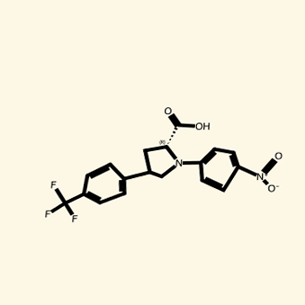 O=C(O)[C@H]1CC(c2ccc(C(F)(F)F)cc2)CN1c1ccc([N+](=O)[O-])cc1